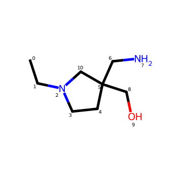 CCN1CCC(CN)(CO)C1